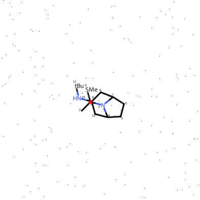 CSC(C)N1C2CCC1CC(NC(C)(C)C)C2